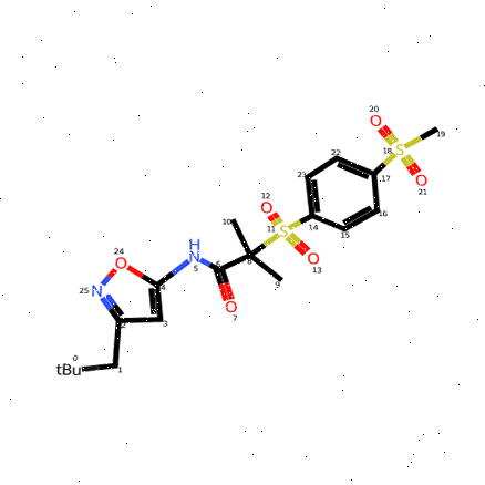 CC(C)(C)Cc1cc(NC(=O)C(C)(C)S(=O)(=O)c2ccc(S(C)(=O)=O)cc2)on1